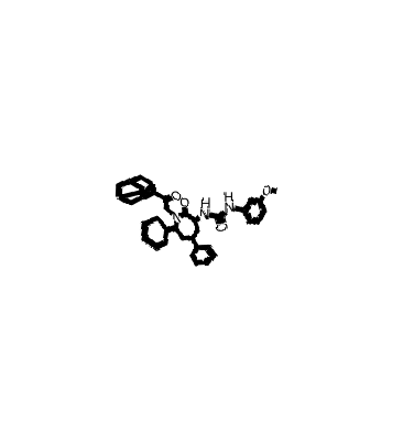 COc1cccc(NC(=O)NC2CC(c3ccccc3)CC(C3CCCCC3)N(CC(=O)C3C4CC5CC(C4)CC3C5)C2=O)c1